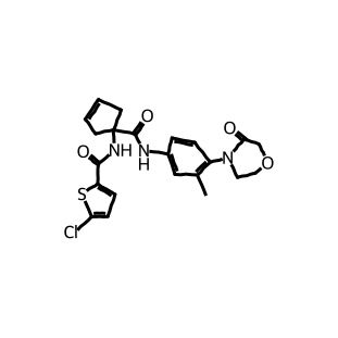 Cc1cc(NC(=O)C2(NC(=O)c3ccc(Cl)s3)CC=CC2)ccc1N1CCOCC1=O